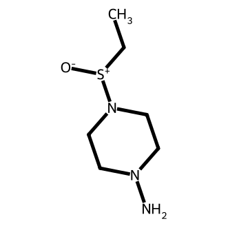 CC[S+]([O-])N1CCN(N)CC1